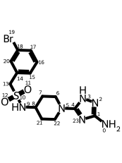 Nc1n[nH]c(N2CCC(NS(=O)(=O)Cc3cccc(Br)c3)CC2)n1